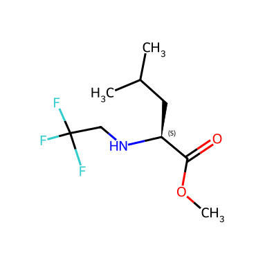 COC(=O)[C@H](CC(C)C)NCC(F)(F)F